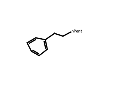 [CH2]CCCCC[CH]c1ccccc1